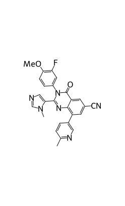 COc1ccc(-n2c(-c3cncn3C)nc3c(-c4ccc(C)nc4)cc(C#N)cc3c2=O)cc1F